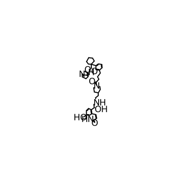 O=C(CCCc1cccc(C2(C(=O)O[C@H]3CN4CCC3CC4)CCCCC2)c1)N1CCC(CCNC[C@@H](O)c2ccc(O)c3[nH]c(=O)ccc23)CC1